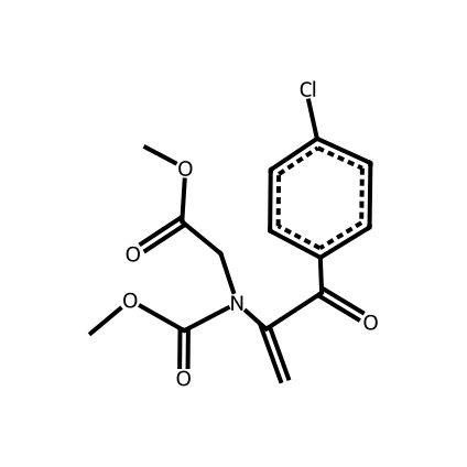 C=C(C(=O)c1ccc(Cl)cc1)N(CC(=O)OC)C(=O)OC